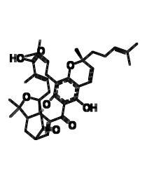 CC(C)=CCC[C@]1(C)C=Cc2c(O)c3c(c(CC=C(C)C)c2O1)O[C@]12C(=CC4CC1C(C)(C)OC2(C/C=C(\C)C(=O)O)C4=O)C3=O